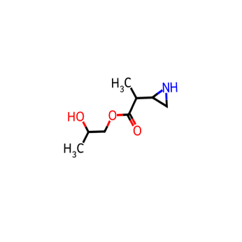 CC(O)COC(=O)C(C)C1CN1